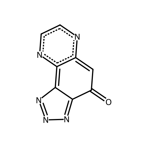 O=C1C=c2nccnc2=C2N=NN=C12